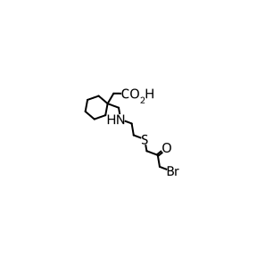 O=C(O)CC1(CNCCSCC(=O)CBr)CCCCC1